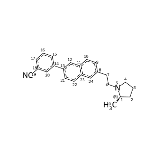 C[C@@H]1CCCN1CCc1ccc2cc(-c3cccc(C#N)c3)ccc2c1